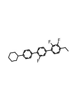 CCc1ccc(-c2ccc(-c3ccc(C4CCCCC4)cc3)c(F)c2)c(F)c1F